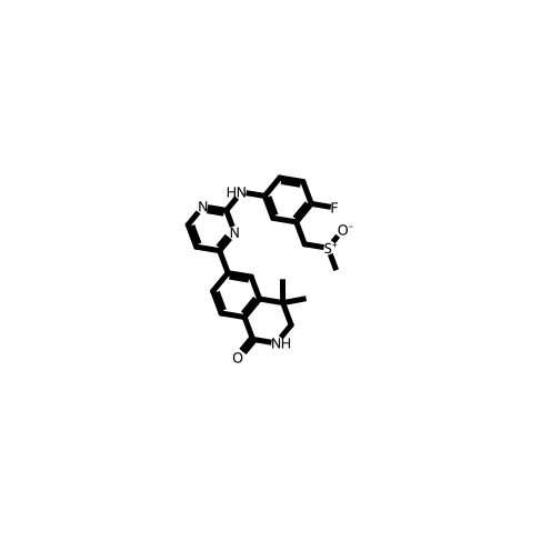 C[S+]([O-])Cc1cc(Nc2nccc(-c3ccc4c(c3)C(C)(C)CNC4=O)n2)ccc1F